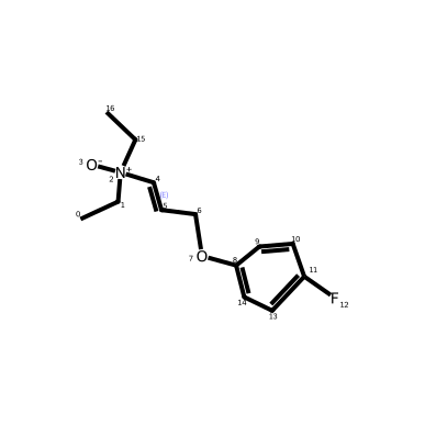 CC[N+]([O-])(/C=C/COc1ccc(F)cc1)CC